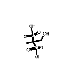 CC(CO)(S(=O)(=O)O)S(=O)(=O)O